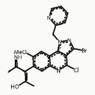 COc1cc2c(cc1/C(C(C)=N)=C(\C)O)nc(Cl)c1c(Br)nn(Cc3ccccn3)c12